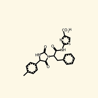 Cc1ccc(C2NC(=O)N(C(Cc3ccccc3)C(=O)Nc3nc(C(=O)O)cs3)C2=O)cc1